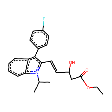 CCOC(=O)CC(O)/C=C/c1c(-c2ccc(F)cc2)c2ccccc2n1C(C)C